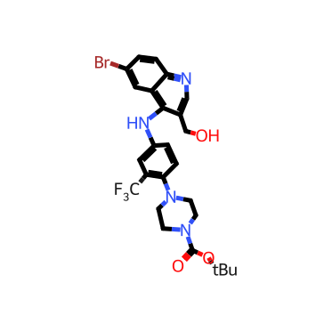 CC(C)(C)OC(=O)N1CCN(c2ccc(Nc3c(CO)cnc4ccc(Br)cc34)cc2C(F)(F)F)CC1